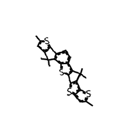 Cc1cc2c(s1)-c1ccc3c4c(sc3c1C2(C)C)-c1sc2cc(C)sc2c1C4(C)C